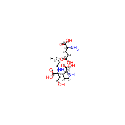 CCCNC(CCO)C(=O)O.NC(CCC(=O)O)C(=O)O.O=C(O)[C@@H]1CCCN1